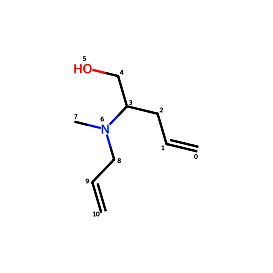 C=CCC(CO)N(C)CC=C